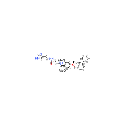 COc1cc(OCc2cccc(-c3ccccc3)c2C)cc(OC)c1CNCCC(=O)NCCc1c[nH]cn1